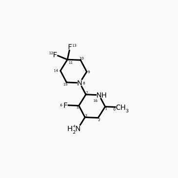 CC1CC(N)C(F)C(N2CCC(F)(F)CC2)N1